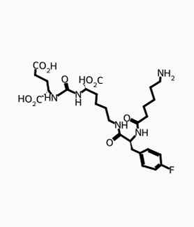 NCCCCCC(=O)N[C@@H](Cc1ccc(F)cc1)C(=O)NCCCC[C@H](NC(=O)N[C@@H](CCC(=O)O)C(=O)O)C(=O)O